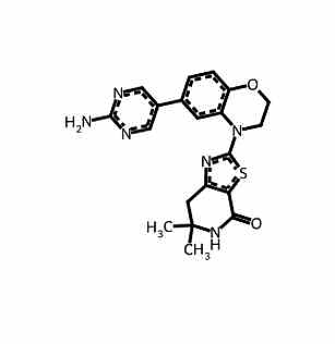 CC1(C)Cc2nc(N3CCOc4ccc(-c5cnc(N)nc5)cc43)sc2C(=O)N1